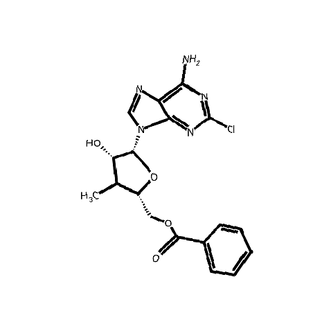 CC1[C@@H](COC(=O)c2ccccc2)O[C@@H](n2cnc3c(N)nc(Cl)nc32)[C@H]1O